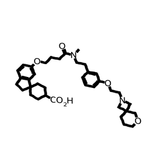 CN(CCc1cccc(OCCN2CC3(CCCOC3)C2)c1)C(=O)CCCOc1ccc2c(c1)C1(CC2)CCC(C(=O)O)CC1